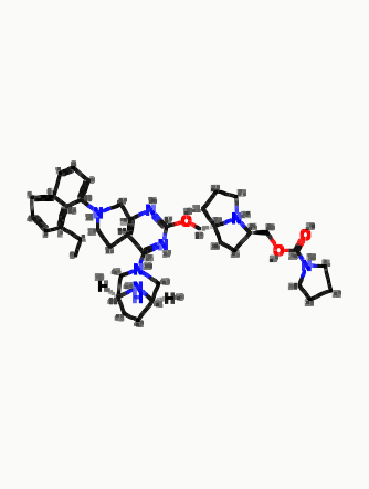 CCc1cccc2cccc(N3CCc4c(nc(OC[C@]56CCCN5[C@@H](COC(=O)N5CCCC5)CC6)nc4N4C[C@H]5CC[C@@H](C4)N5)C3)c12